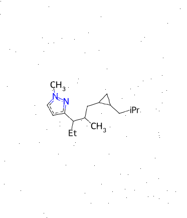 CCC(c1ccn(C)n1)C(C)CC1CC1CC(C)C